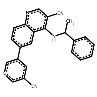 CC(Nc1c(C#N)cnc2ccc(-c3cncc(C#N)c3)cc12)c1ccccc1